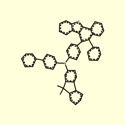 CC1(C)c2ccccc2-c2ccc(N(c3ccc(-c4ccccc4)cc3)c3ccc(-c4c(-c5ccccc5)c5ccccc5c5sc6ccccc6c45)cc3)cc21